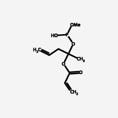 C=CCC(C)(OC(=O)C=C)OP(O)OC